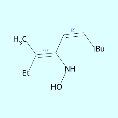 CC/C(C)=C(/C=C\C(C)CC)NO